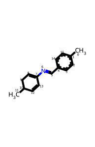 Cc1ccc(/C=N/C2=CCC(C)C=C2)cc1